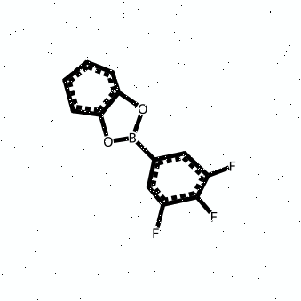 Fc1cc(B2Oc3ccccc3O2)cc(F)c1F